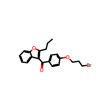 CCCc1oc2ccccc2c1C(=O)c1ccc(OCCCBr)cc1